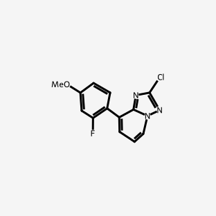 COc1ccc(-c2cccn3nc(Cl)nc23)c(F)c1